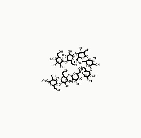 CO[C@@H]1OC(CO)[C@@H](O[C@@H]2OC(CO)[C@@H](O[C@@H]3OC(CO)[C@@H](O[C@@H]4OC(CO)[C@@H](O[C@@H]5OC(CO)[C@@H](O[C@@H]6OC(CO)[C@@H](O[C@@H]7OC(CO)[C@@H](O[C@@H]8OC(CO)[C@@H](C)[C@H](O)C8O)[C@H](O)C7O)[C@H](O)C6O)[C@H](O)C5O)[C@H](O)C4O)[C@H](O)C3O)[C@H](O)C2O)[C@H](O)C1O